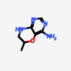 CC1CNc2ncnc(N)c2O1